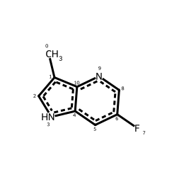 Cc1c[nH]c2cc(F)cnc12